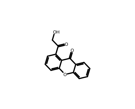 O=C(CO)c1cccc2oc3ccccc3c(=O)c12